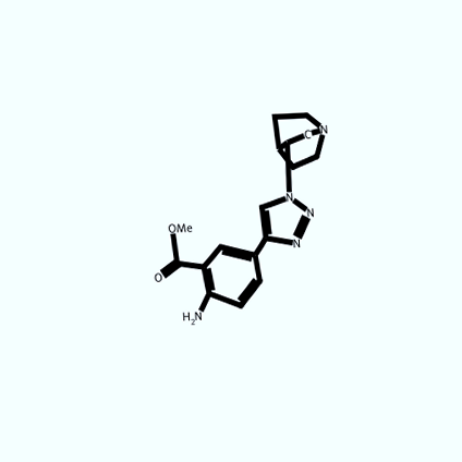 COC(=O)c1cc(-c2cn(C3CN4CCC3CC4)nn2)ccc1N